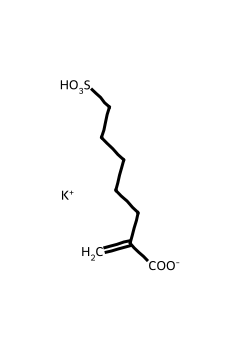 C=C(CCCCCS(=O)(=O)O)C(=O)[O-].[K+]